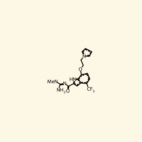 CNC(N)=NC(=O)c1cc2c(C(F)(F)F)ccc(OCCn3cccc3)c2[nH]1